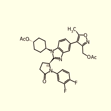 CC(=O)OCc1noc(C)c1-c1ccc2c(c1)nc([C@@H]1CCC(=O)N1c1ccc(F)c(F)c1)n2[C@H]1CC[C@H](OC(C)=O)CC1